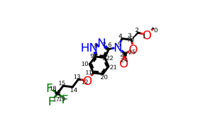 COC[C@@H]1CN(c2n[nH]c3cc(OCCCC(F)(F)F)ccc23)C(=O)O1